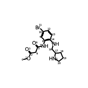 COC(=O)CC(=O)Nc1cc(Br)ccc1NCC1CCCN1